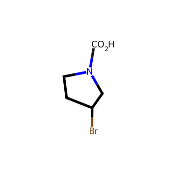 O=C(O)N1CCC(Br)C1